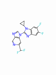 Fc1cc2nc(-n3cnc4cnc(C(F)F)cc43)n(C3CC3)c2cc1F